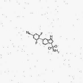 N#Cc1cc(F)c(-c2ccc3c(S(N)(=O)=O)c[nH]c3c2)c(F)c1